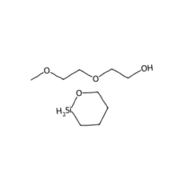 C1CC[SiH2]OC1.COCCOCCO